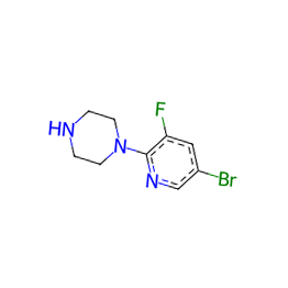 Fc1cc(Br)cnc1N1CCNCC1